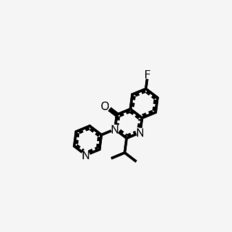 CC(C)c1nc2ccc(F)cc2c(=O)n1-c1cccnc1